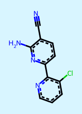 N#Cc1ccc(-c2ncccc2Cl)nc1N